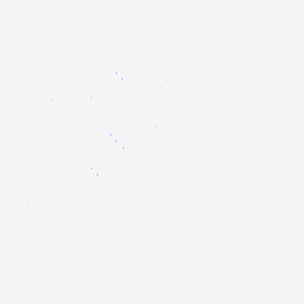 Fc1ccc(-c2cnc3ccc(Cl)nn23)cc1